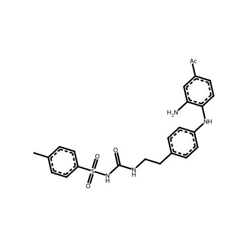 CC(=O)c1ccc(Nc2ccc(CCNC(=O)NS(=O)(=O)c3ccc(C)cc3)cc2)c(N)c1